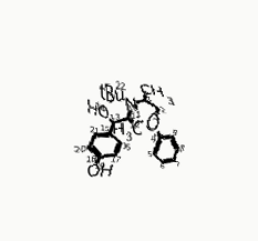 CC(COc1ccccc1)N(C(C)C(O)c1ccc(O)cc1)C(C)(C)C